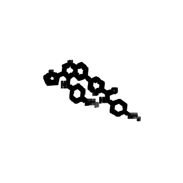 NC1CCC(NC(=O)c2ccc(-c3ccc4ncc(-c5cccs5)c(NC5CCC(N)CC5)c4c3)cn2)CC1